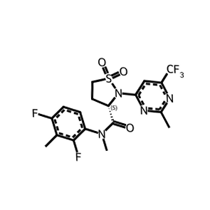 Cc1nc(N2[C@H](C(=O)N(C)c3ccc(F)c(C)c3F)CCS2(=O)=O)cc(C(F)(F)F)n1